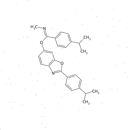 C/N=C(\Oc1ccc2nc(-c3ccc(C(C)C)cc3)oc2c1)c1ccc(C(C)C)cc1